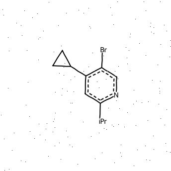 CC(C)c1cc(C2CC2)c(Br)cn1